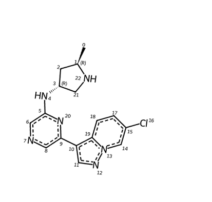 C[C@@H]1C[C@@H](Nc2cncc(-c3cnn4cc(Cl)ccc34)n2)CN1